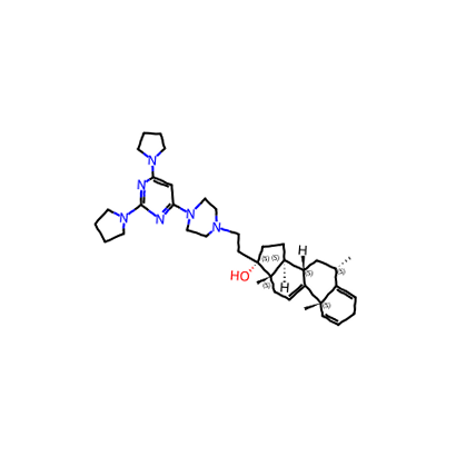 C[C@H]1C[C@@H]2C(=CC[C@@]3(C)[C@H]2CC[C@]3(O)CCN2CCN(c3cc(N4CCCC4)nc(N4CCCC4)n3)CC2)[C@@]2(C)C=CCC=C12